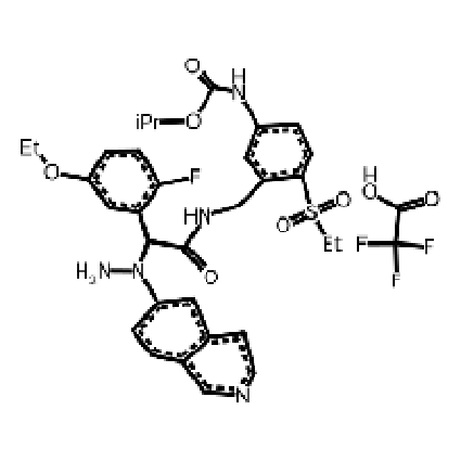 CCOc1ccc(F)c(C(C(=O)NCc2cc(NC(=O)OC(C)C)ccc2S(=O)(=O)CC)N(N)c2ccc3cnccc3c2)c1.O=C(O)C(F)(F)F